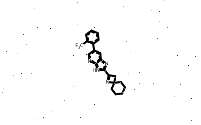 FC(F)(F)c1ccccc1-c1cnc2[nH]c(C3=NC4(CCCCC4)C3)nc2c1